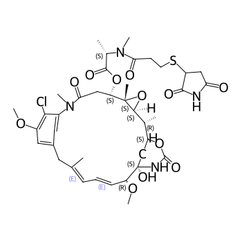 COc1cc2cc(c1Cl)N(C)C(=O)C[C@H](OC(=O)[C@H](C)N(C)C(=O)CCSC1CC(=O)NC1=O)[C@]1(C)O[C@H]1[C@H](C)[C@@H]1C[C@@](O)(NC(=O)O1)[C@H](OC)/C=C/C=C(\C)C2